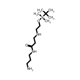 CC(C)(C)[Si](C)(C)OCCNCCC(=O)NCCCN